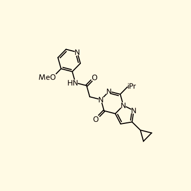 COc1ccncc1NC(=O)Cn1nc(C(C)C)n2nc(C3CC3)cc2c1=O